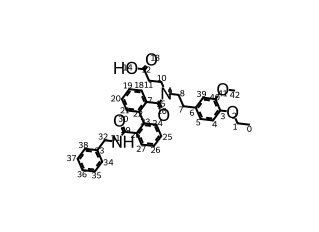 CCOc1ccc(CCN(CCC(=O)O)C(=O)c2ccccc2-c2ccccc2C(=O)NCc2ccccc2)cc1OC